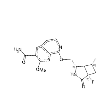 COc1cc2c(OC[C@H]3NC(=O)[C@]4(F)C[C@@H](C)C34)nccc2cc1C(N)=O